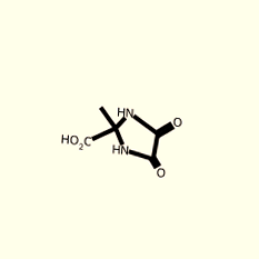 CC1(C(=O)O)NC(=O)C(=O)N1